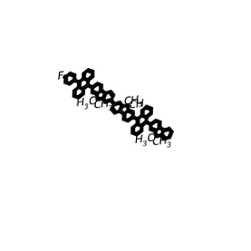 CC1(C)c2ccccc2-c2ccc(-c3c4ccccc4c(-c4ccc5c(c4)C(C)(C)c4cc(-c6ccc7c(c6)C(C)(C)c6cc(-c8c9ccccc9c(-c9ccc(F)cc9)c9ccccc89)ccc6-7)ccc4-5)c4ccccc34)cc21